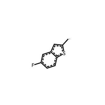 [CH2]c1cc2cc(F)ccc2s1